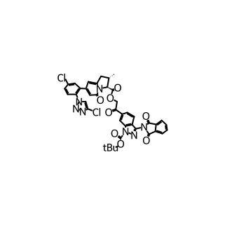 C[C@H]1Cc2cc(-c3cc(Cl)ccc3-n3cc(Cl)nn3)cc(=O)n2[C@@H]1C(=O)OCC(=O)c1ccc2c(N3C(=O)c4ccccc4C3=O)nn(C(=O)OC(C)(C)C)c2c1